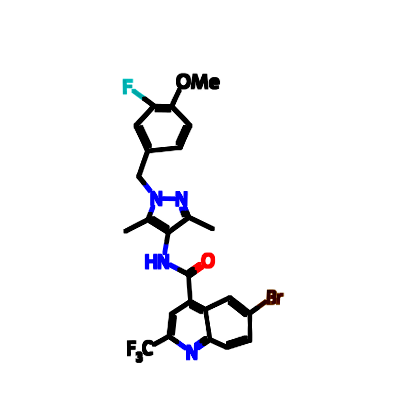 COc1ccc(Cn2nc(C)c(NC(=O)c3cc(C(F)(F)F)nc4ccc(Br)cc34)c2C)cc1F